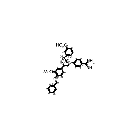 COc1cc(C(CNc2ccc(C(=N)N)cc2)NS(=O)(=O)c2cccc(C(=O)O)c2)ccc1OCc1ccccc1